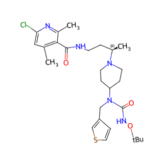 Cc1cc(Cl)nc(C)c1C(=O)NCC[C@@H](C)N1CCC(N(Cc2ccsc2)C(=O)NOC(C)(C)C)CC1